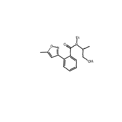 CCN(C(=O)c1ccccc1-c1cc(C)on1)C(C)CO